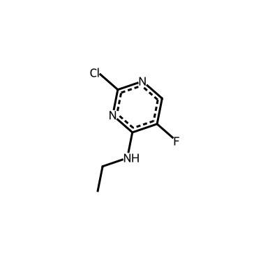 CCNc1nc(Cl)ncc1F